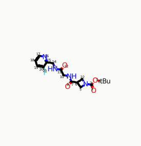 CC(C)(C)OC(=O)N1CC(C(=O)NCC(=O)NCc2ncccc2F)C1